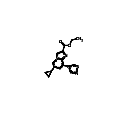 CCOC(=O)c1cn2cc(C3CC3)cc(-n3cnnc3)c2n1